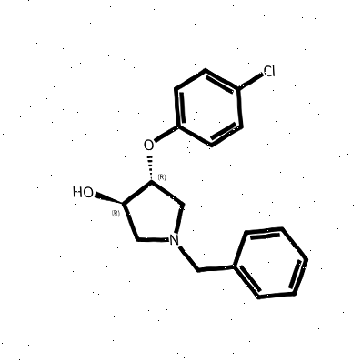 O[C@@H]1CN(Cc2ccccc2)C[C@H]1Oc1ccc(Cl)cc1